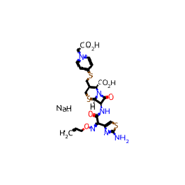 C=CCO/N=C(\C(=O)N[C@@H]1C(=O)N2C(C(=O)O)=C(CSc3cc[n+](CC(=O)O)cc3)CS[C@H]12)c1csc(N)n1.[NaH]